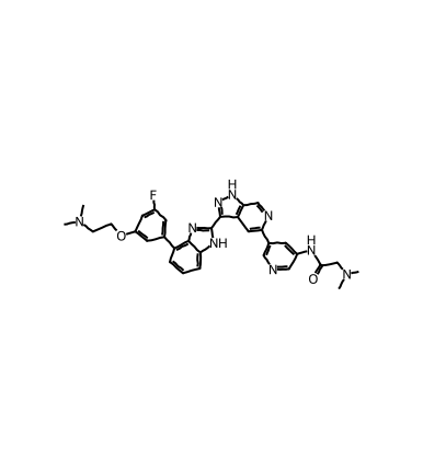 CN(C)CCOc1cc(F)cc(-c2cccc3[nH]c(-c4n[nH]c5cnc(-c6cncc(NC(=O)CN(C)C)c6)cc45)nc23)c1